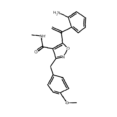 C=C(c1ccccc1N)c1onc(Cc2ccc(OC)cc2)c1C(=O)NC